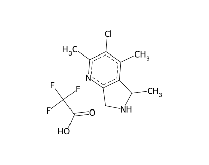 Cc1nc2c(c(C)c1Cl)C(C)NC2.O=C(O)C(F)(F)F